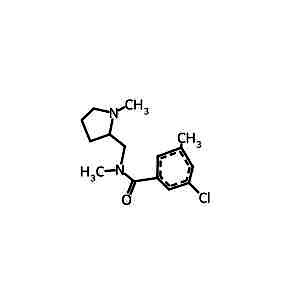 Cc1cc(Cl)cc(C(=O)N(C)CC2CCCN2C)c1